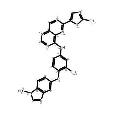 Cc1ncc(-c2ncc3ncnc(Nc4ccc(Oc5ccc6c(c5)ncn6C)c(C)c4)c3n2)s1